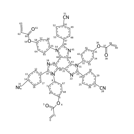 C=CC(=O)Oc1ccc(-n2c(-c3ccc(C#N)cc3)nc3c2c2nc(-c4ccc(C#N)cc4)n(-c4ccc(OC(=O)C=C)cc4)c2c2nc(-c4ccc(C#N)cc4)n(-c4ccc(OC(=O)C=C)cc4)c32)cc1